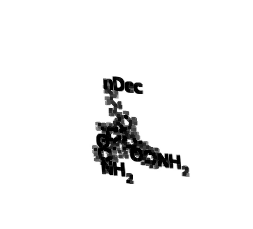 CCCCCCCCCCCCCCCC1CCCC(c2cc(C)c(Oc3ccc(N)cc3)c(C)c2)(c2cc(C)c(Oc3ccc(N)cc3)c(C)c2)C1